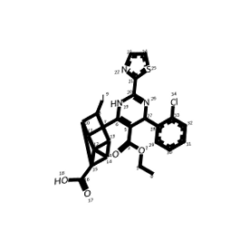 CCOC(=O)C1=C(C23C(I)C4C2C25C3C2C45C(=O)O)NC(c2nccs2)=NC1c1ccccc1Cl